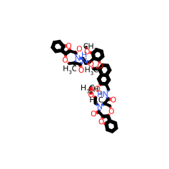 COCCN1C(=O)c2oc3ccccc3c2OCC1(C)C(=O)NCc1cc2cccc(COCCN3C(=O)c4oc5ccccc5c4OCC3(C)C(=O)NCc3c(OC)cccc3OC)c2cc1OC